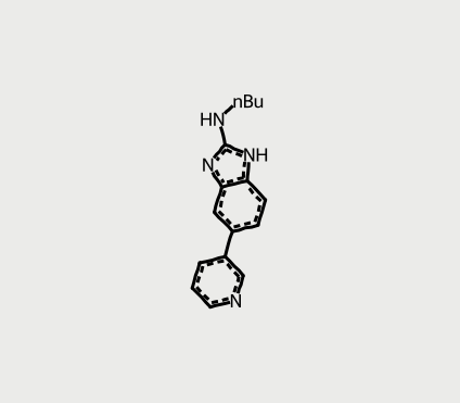 CCCCNc1nc2cc(-c3cccnc3)ccc2[nH]1